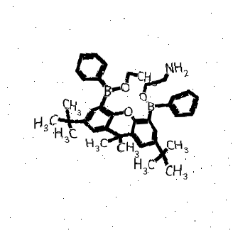 CCOB(c1ccccc1)c1cc(C(C)(C)C)cc2c1Oc1c(B(OCCN)c3ccccc3)cc(C(C)(C)C)cc1C2(C)C